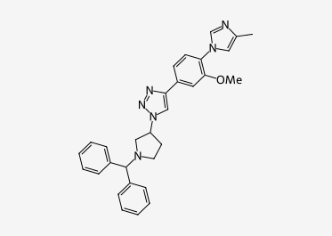 COc1cc(-c2cn(C3CCN(C(c4ccccc4)c4ccccc4)C3)nn2)ccc1-n1cnc(C)c1